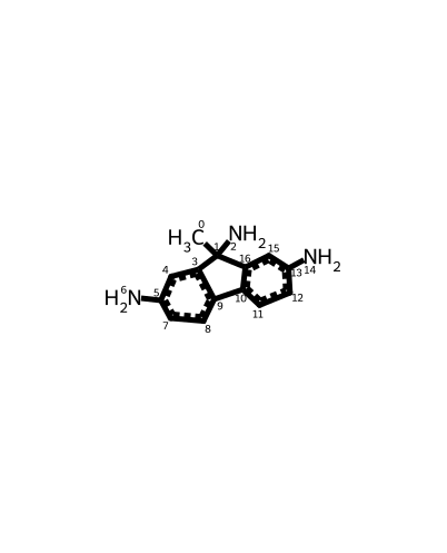 CC1(N)c2cc(N)ccc2-c2ccc(N)cc21